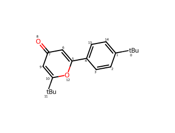 CC(C)(C)c1ccc(-c2cc(=O)cc(C(C)(C)C)o2)cc1